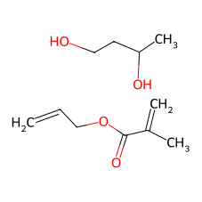 C=CCOC(=O)C(=C)C.CC(O)CCO